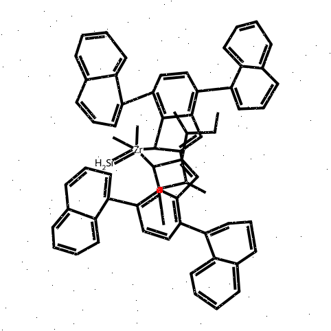 CCC(C)C1=Cc2c(-c3cccc4ccccc34)ccc(-c3cccc4ccccc34)c2[CH]1[Zr]([CH3])([CH3])(=[SiH2])[CH]1C(C(C)CC)=Cc2c(-c3cccc4ccccc34)ccc(-c3cccc4ccccc34)c21